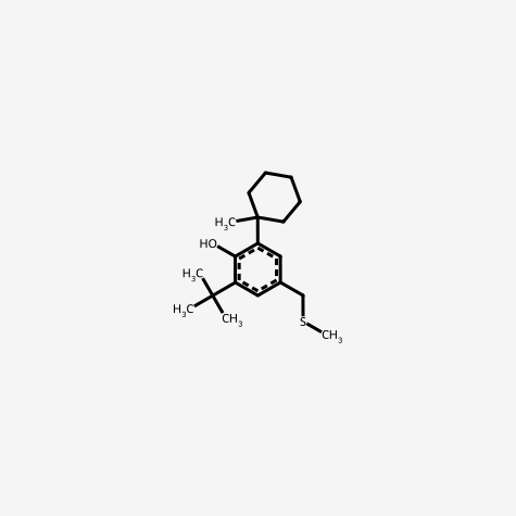 CSCc1cc(C(C)(C)C)c(O)c(C2(C)CCCCC2)c1